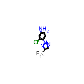 Nc1ccc(-n2ncc(C(F)(F)F)n2)c(Cl)c1